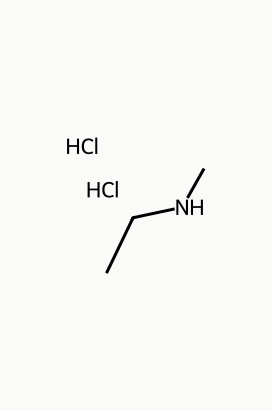 CCNC.Cl.Cl